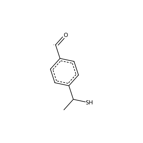 CC(S)c1ccc([C]=O)cc1